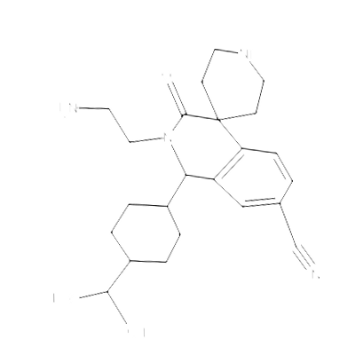 CC(C)C1CCC(C2c3cc(C#N)ccc3C3(CCNCC3)C(=O)N2CCN)CC1